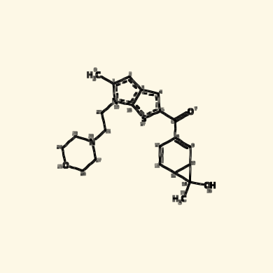 Cc1cc2cc(C(=O)C3=CC4C(C=C3)C4(C)O)sc2n1CCN1CCOCC1